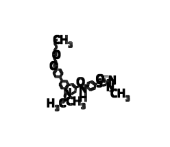 CCCCOCCOc1ccc(-c2ccc3c(c2)C=C(C(=O)Nc2ccc([S+]([O-])Cc4cncn4CC)cc2)CCN3CC(C)C)cc1